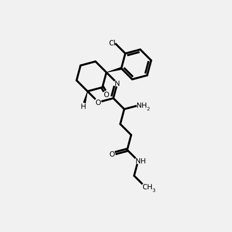 CCNC(=O)CCC(N)C1=N[C@@]2(c3ccccc3Cl)CCC[C@@H](O1)C2=O